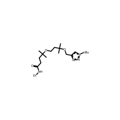 CCCCn1cc(COC(C)(C)CCOC(C)(C)CCC(=O)NCC)nn1